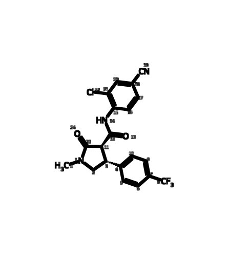 CN1C[C@@H](c2ccc(C(F)(F)F)cc2)[C@H](C(=O)Nc2ccc(C#N)cc2Cl)C1=O